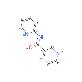 O=C(Nc1ccccn1)c1c[c]cnc1